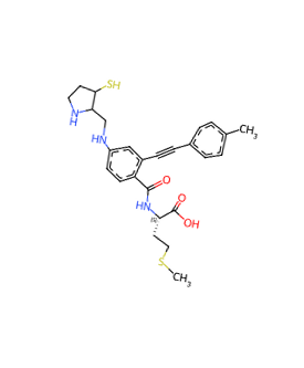 CSCC[C@H](NC(=O)c1ccc(NCC2NCCC2S)cc1C#Cc1ccc(C)cc1)C(=O)O